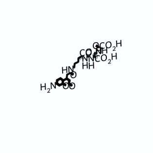 Nc1ccc2c(CC(=O)NCCCC[C@H](NC(=O)N[C@@H](CNC(=O)C(=O)O)C(=O)O)C(=O)O)cc(=O)oc2c1